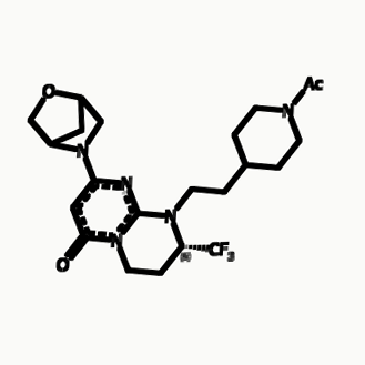 CC(=O)N1CCC(CCN2c3nc(N4CC5CC4CO5)cc(=O)n3CC[C@H]2C(F)(F)F)CC1